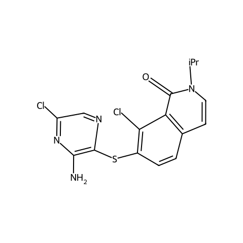 CC(C)n1ccc2ccc(Sc3ncc(Cl)nc3N)c(Cl)c2c1=O